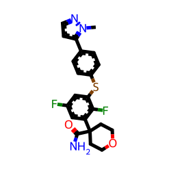 Cn1nccc1-c1ccc(Sc2cc(F)cc(C3(C(N)=O)CCOCC3)c2F)cc1